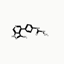 CNC(=O)Nc1ccc(-c2cncc3[nH]nc(N)c23)cc1